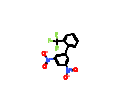 O=[N+]([O-])c1cc(-c2ccccc2C(F)(F)F)cc([N+](=O)[O-])c1